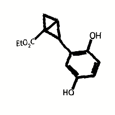 CCOC(=O)C12CC1C2c1cc(O)ccc1O